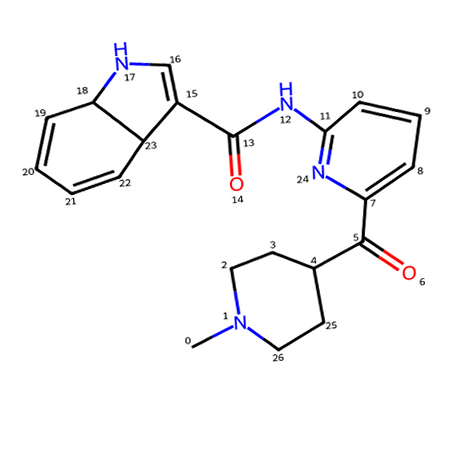 CN1CCC(C(=O)c2cccc(NC(=O)C3=CNC4C=CC=CC34)n2)CC1